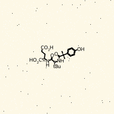 CC(C)(C(=O)N[C@H](C(=O)N[C@H](CCC(=O)O)C(=O)O)C(C)(C)C)c1ccc(O)cc1